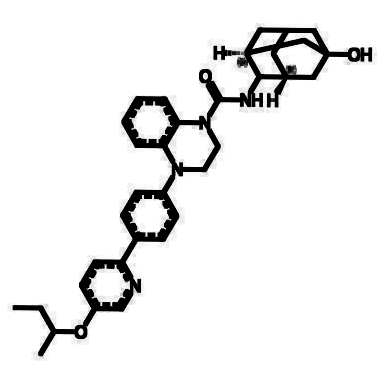 CCC(C)Oc1ccc(-c2ccc(N3CCN(C(=O)NC4[C@@H]5CC6C[C@H]4CC(O)(C6)C5)c4ccccc43)cc2)nc1